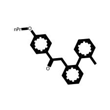 CCCOc1ccc(C(=O)Cc2ccccc2-c2ccccc2C)cc1